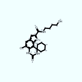 O=C1Nc2c(Cl)cc3cc(C(=O)NCCCCO)oc3c2C2(CCCCC2)N1